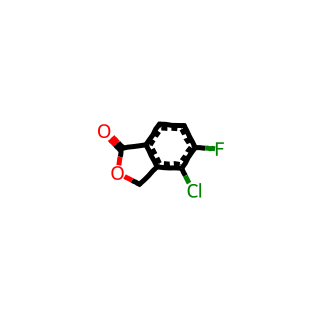 O=C1OCc2c1ccc(F)c2Cl